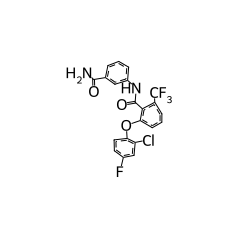 NC(=O)c1cccc(NC(=O)c2c(Oc3ccc(F)cc3Cl)cccc2C(F)(F)F)c1